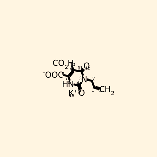 C=CCn1c(=O)[nH]c(C(=O)[O-])c(C(=O)O)c1=O.[K+]